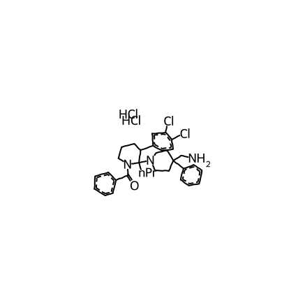 CCCC1(N2CCC(CN)(c3ccccc3)CC2)C(c2ccc(Cl)c(Cl)c2)CCCN1C(=O)c1ccccc1.Cl.Cl